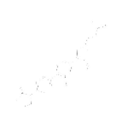 NC(=O)CCC1CN(c2ccc(-c3ccc(N4CCOC4=O)nc3)c(F)c2)C(=O)O1